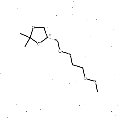 CSOCCCOC[C@H]1COC(C)(C)O1